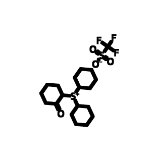 O=C1CCCCC1[S+](C1CCCCC1)C1CCCCC1.O=S(=O)([O-])C(F)(F)F